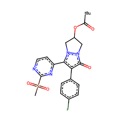 CC(C)(C)C(=O)OC1Cn2c(-c3ccnc(S(C)(=O)=O)n3)c(-c3ccc(F)cc3)c(=O)n2C1